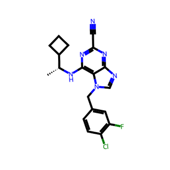 C[C@@H](Nc1nc(C#N)nc2ncn(Cc3ccc(Cl)c(F)c3)c12)C1CCC1